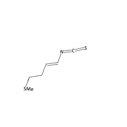 CSCCC=CN=C=S